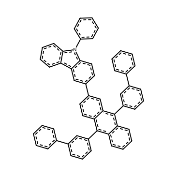 c1ccc(-c2cccc(-c3c4ccccc4c(-c4cccc(-c5ccccc5)c4)c4cc(-c5ccc6c(c5)c5ccccc5n6-c5ccccc5)ccc34)c2)cc1